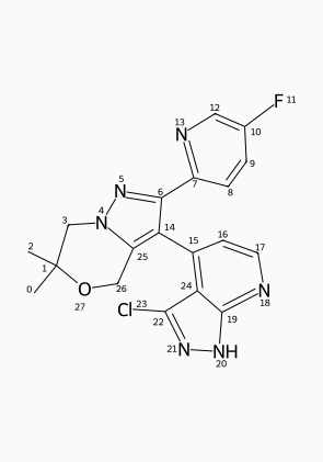 CC1(C)Cn2nc(-c3ccc(F)cn3)c(-c3ccnc4[nH]nc(Cl)c34)c2CO1